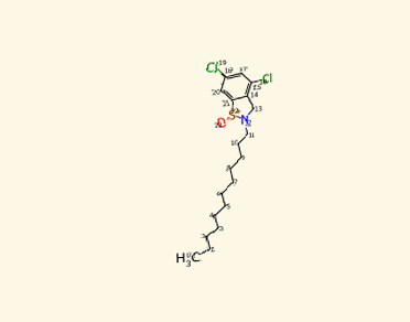 CCCCCCCCCCCCN1Cc2c(Cl)cc(Cl)cc2[S+]1[O-]